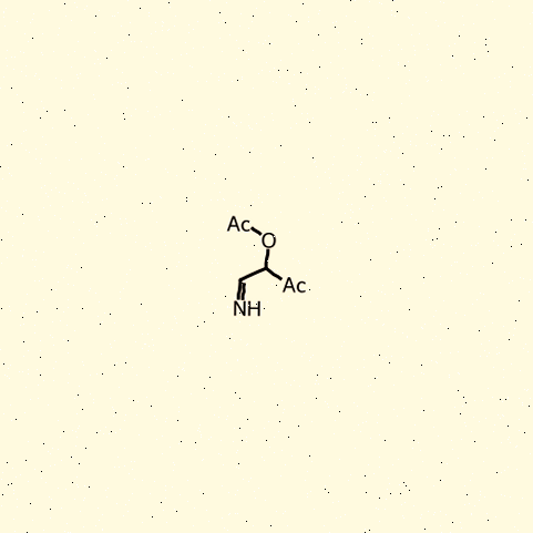 CC(=O)OC(C=N)C(C)=O